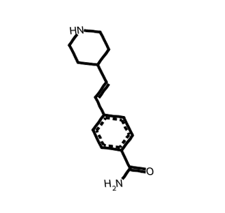 NC(=O)c1ccc(/C=C/C2CCNCC2)cc1